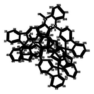 CN1c2ccccc2N(c2ccc3c(c2)C2(c4ccccc4-c4ccc(C(=O)c5ccc6c(c5)C5(c7ccccc7-6)c6ccccc6-c6ccc(C(=O)c7ccc8c(c7)C7(c9ccccc9-8)c8ccccc8-c8ccc(N9c%10ccccc%10N(C)c%10ccccc%109)cc87)cc65)cc42)c2ccccc2-3)c2ccccc21